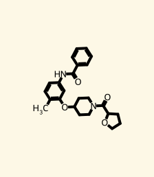 Cc1ccc(NC(=O)c2ccccc2)cc1OC1CCN(C(=O)C2CCCO2)CC1